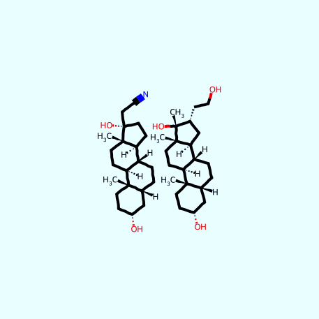 C[C@]12CC[C@@H](O)C[C@H]1CC[C@@H]1[C@@H]2CC[C@@]2(C)[C@H]1CC[C@]2(O)CC#N.C[C@]12CC[C@@H](O)C[C@H]1CC[C@@H]1[C@@H]2CC[C@@]2(C)[C@H]1C[C@@H](CCO)[C@@]2(C)O